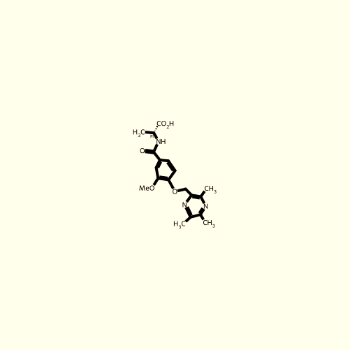 COc1cc(C(=O)N[C@H](C)C(=O)O)ccc1OCc1nc(C)c(C)nc1C